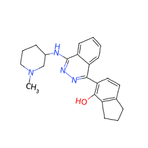 CN1CCCC(Nc2nnc(-c3ccc4c(c3O)CCC4)c3ccccc23)C1